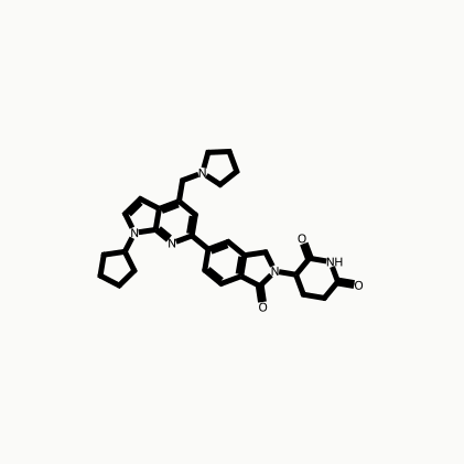 O=C1CCC(N2Cc3cc(-c4cc(CN5CCCC5)c5ccn(C6CCCC6)c5n4)ccc3C2=O)C(=O)N1